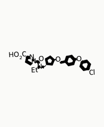 CCN(C[C@@H]1CC[C@@H](OCc2ccc(Oc3ccc(Cl)cc3)cc2)C1)C(=O)n1ccc(C(=O)O)n1